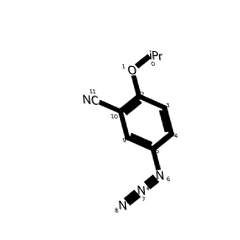 CC(C)Oc1ccc(N=[N+]=[N-])cc1C#N